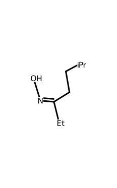 CCC(CCC(C)C)=NO